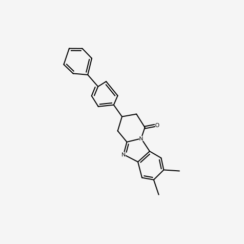 Cc1cc2nc3n(c2cc1C)C(=O)CC(c1ccc(-c2ccccc2)cc1)C3